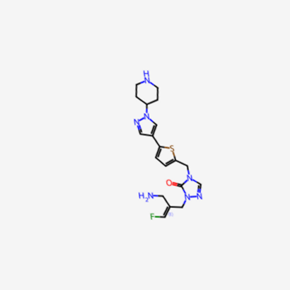 NC/C(=C\F)Cn1ncn(Cc2ccc(-c3cnn(C4CCNCC4)c3)s2)c1=O